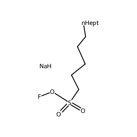 CCCCCCCCCCCCS(=O)(=O)OF.[NaH]